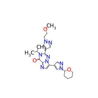 COCCn1cc(-c2nn3c(-c4cnn(C5CCCCO5)c4)cnc3c(=O)n2C(C)C)cn1